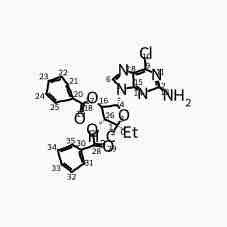 CC[C@@]1(C)O[C@@H](n2cnc3c(Cl)nc(N)nc32)C(OC(=O)c2ccccc2)[C@H]1OC(=O)c1ccccc1